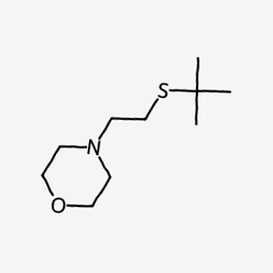 CC(C)(C)SCCN1CCOCC1